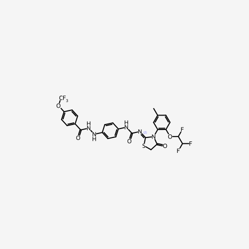 Cc1ccc(OC(F)C(F)F)c(N2C(=O)CS/C2=N\C(=O)Nc2ccc(NNC(=O)c3ccc(OC(F)(F)F)cc3)cc2)c1